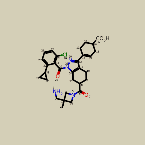 CC1(CN)CN(C(=O)C2CCc3c(C4=CCC(C(=O)O)CC4)nn(C(=O)c4c(Cl)cccc4C4CC4)c3C2)C1